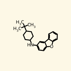 CC(C)(C)C1CCC(Nc2ccc3oc4ccccc4c3c2)CC1